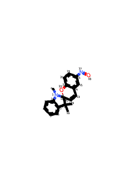 CN1c2ccccc2C(C)(C)[C@]12C=Cc1cc(N=O)ccc1O2